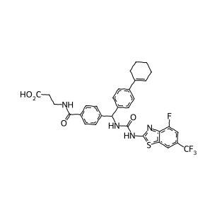 O=C(O)CCNC(=O)c1ccc(C(NC(=O)Nc2nc3c(F)cc(C(F)(F)F)cc3s2)c2ccc(C3=CCCCC3)cc2)cc1